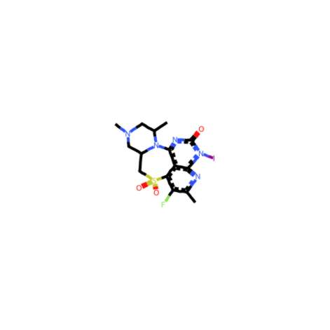 Cc1nc2c3c(nc(=O)n2I)N2C(C)CN(C)CC2CS(=O)(=O)c3c1F